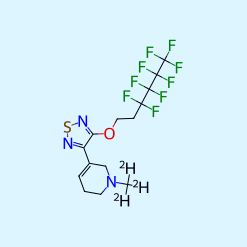 [2H]C([2H])([2H])N1CCC=C(c2nsnc2OCCC(F)(F)C(F)(F)C(F)(F)C(F)(F)F)C1